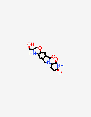 O=C1CCC(N2Cc3cc4c(cc3C2=O)OCC(CO)N4)C(=O)N1